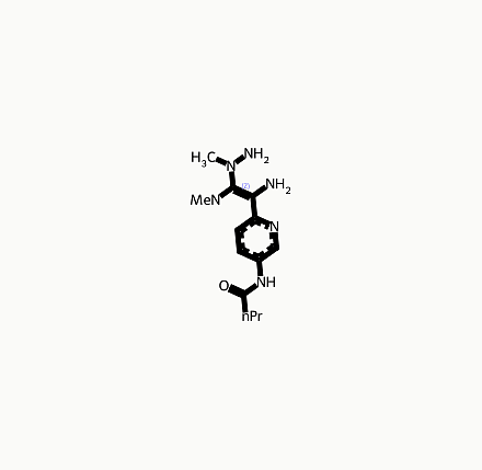 CCCC(=O)Nc1ccc(/C(N)=C(\NC)N(C)N)nc1